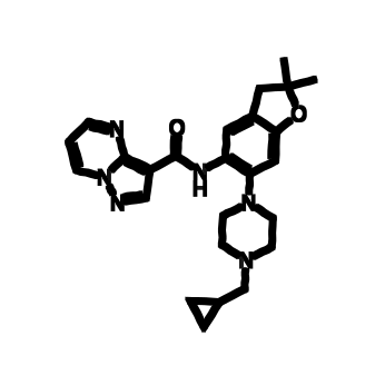 CC1(C)Cc2cc(NC(=O)c3cnn4cccnc34)c(N3CCN(CC4CC4)CC3)cc2O1